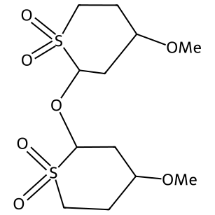 COC1CCS(=O)(=O)C(OC2CC(OC)CCS2(=O)=O)C1